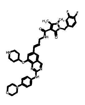 Cc1c(C(=O)NCC=Cc2cc(OC3CCNCC3)c3nc(Nc4ccc(N5CCOCC5)cc4)ncc3c2)c(=O)n(Cc2ccc(F)c(F)c2)n1C